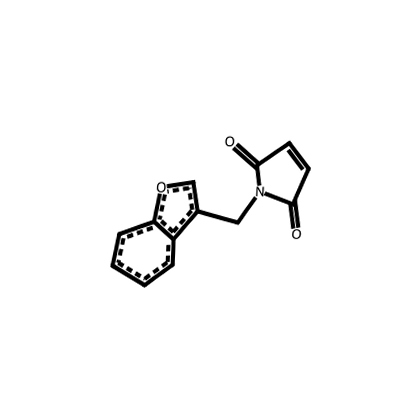 O=C1C=CC(=O)N1Cc1coc2ccccc12